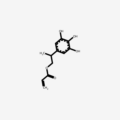 C=CC(=O)OCC(C)c1cc(O)c(O)c(O)c1